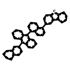 c1ccc2cc(-c3c4ccccc4c(-c4cccc5c(-c6ccc7sc8ccccc8c7c6)cccc45)c4ccccc34)ccc2c1